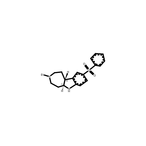 CCN1CC[C@@H]2Nc3ccc(S(=O)(=O)c4ccccc4)cc3[C@H]2CC1